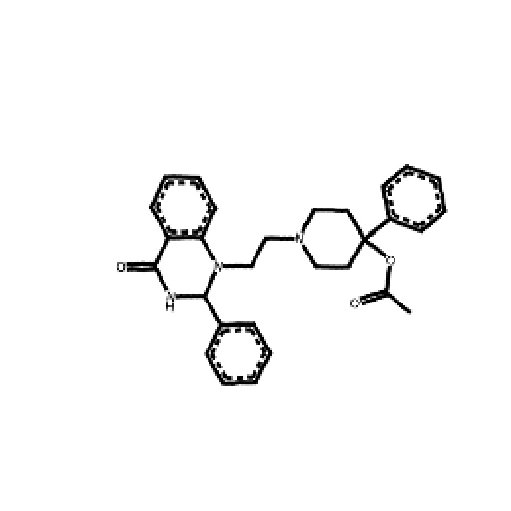 CC(=O)OC1(c2ccccc2)CCN(CCN2c3ccccc3C(=O)NC2c2ccccc2)CC1